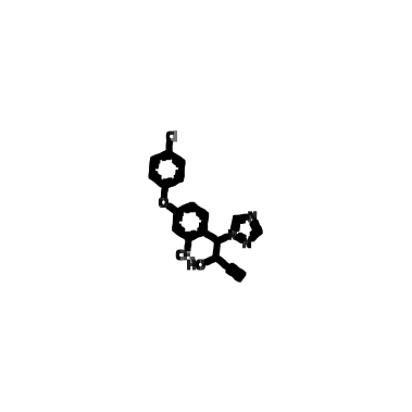 C#CC(O)C(c1ccc(Oc2ccc(Cl)cc2)cc1C(F)(F)F)n1cncn1